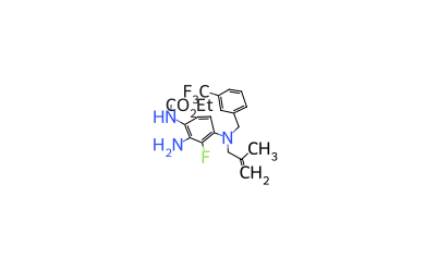 C=C(C)CN(Cc1cccc(C(F)(F)F)c1)c1ccc(NC(=O)OCC)c(N)c1F